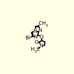 Cc1cn2cc(Br)nc(OC3CCN(C)C3=O)c2n1